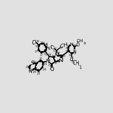 COc1ncc(-c2nc3c(n2C(C)C)C(c2ccc(Cl)cc2)N(c2ccc4ncsc4c2)C3=O)c(OC)n1